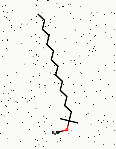 CCCCCCCCCCCCCCC(C)(C)O[SiH3]